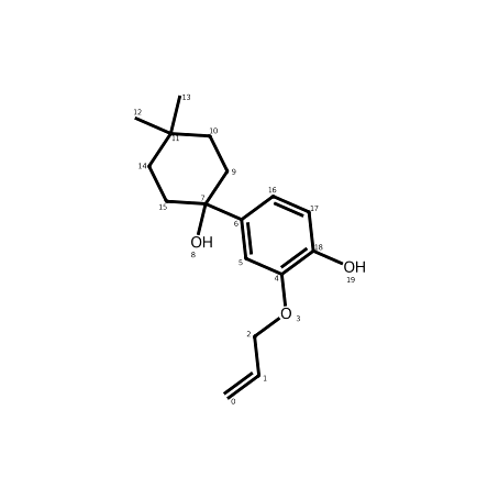 C=CCOc1cc(C2(O)CCC(C)(C)CC2)ccc1O